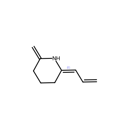 C=C/C=C1\CCCC(=C)N1